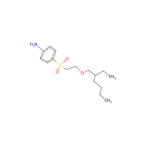 CCCCC(CC)COCCS(=O)(=O)c1ccc(N)cc1